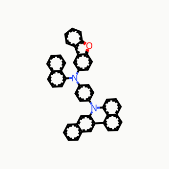 c1ccc2cc3c(cc2c1)-c1cccc2cccc(c12)N3c1ccc(N(c2ccc3oc4ccccc4c3c2)c2cccc3ccccc23)cc1